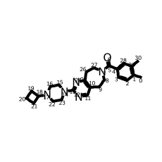 Cc1ccc(C(=O)N2CCc3cnc(N4CCN(C5CCC5)CC4)nc3CC2)cc1C